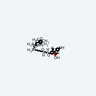 CC1=C(C)C(=O)C(C(C)(C)CC(=O)N(C)CCN(C)CCCCCC(=O)NCCNC(=O)c2ccc3c(c2)C(=O)OC32c3ccc(O)cc3Oc3cc(O)ccc32)=C(C)C1=O